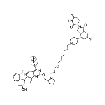 C=C1CCC(N2Cc3c(cc(F)cc3C3CCN(CCCCCCCOCCCN4CCC[C@H]4COc4nc(N5CC6CCC(C5)N6)c5cnc(-c6cc(O)cc7cccc(F)c67)c(F)c5n4)CC3)C2=O)C(=O)N1